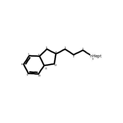 CCCCCCCCCCC1CC2C=CC=CC2C1